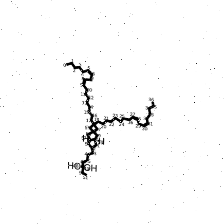 CCCCC/C=C\C/C=C\CCCCCCCCC1(CCCCCCCC/C=C\C/C=C\CCCCC)CC2(C[C@H]3CC(CCCCC(O)(O)CC)C[C@H]3C2)C1